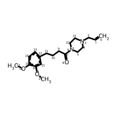 C=CCN1CCN(C(=O)CCCc2ccc(OC)c(OC)c2)CC1